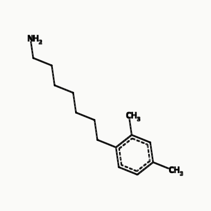 Cc1ccc(CCCCCCCN)c(C)c1